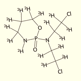 [2H]N1C([2H])([2H])C([2H])([2H])C([2H])([2H])OP1(=O)N(C([2H])([2H])C([2H])([2H])Cl)C([2H])([2H])C([2H])([2H])Cl